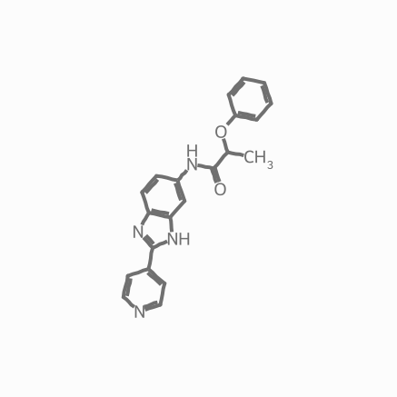 CC(Oc1ccccc1)C(=O)Nc1ccc2nc(-c3ccncc3)[nH]c2c1